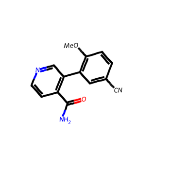 COc1ccc(C#N)cc1-c1cnccc1C(N)=O